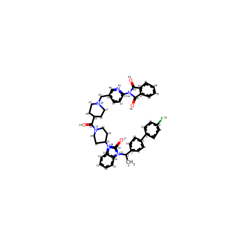 CC(c1ccc(-c2ccc(F)cc2)cc1)n1c(=O)n(C2CCN(C(=O)C3CCN(Cc4ccc(N5C(=O)c6ccccc6C5=O)nc4)CC3)CC2)c2ccccc21